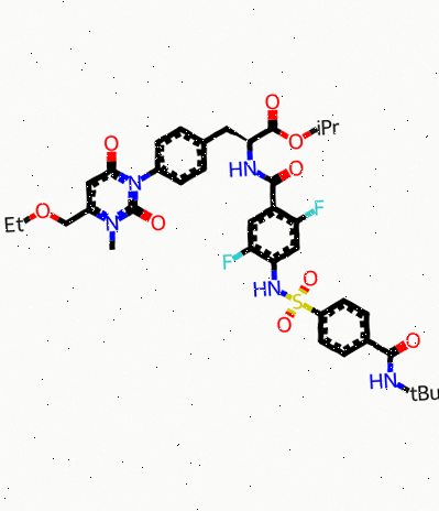 CCOCc1cc(=O)n(-c2ccc(C[C@H](NC(=O)c3cc(F)c(NS(=O)(=O)c4ccc(C(=O)NC(C)(C)C)cc4)cc3F)C(=O)OC(C)C)cc2)c(=O)n1C